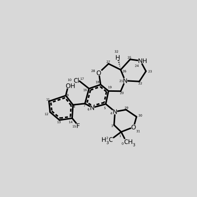 CC1(C)CN(c2nc(-c3c(O)cccc3F)c(Cl)c3c2CN2CCNC[C@@H]2CO3)CCO1